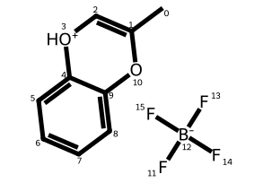 CC1=C[OH+]c2ccccc2O1.F[B-](F)(F)F